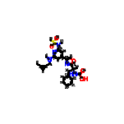 CC1CC1CN(C)c1cc(-c2coc(C(C)(Cc3ccccc3)NC(=O)O)n2)cc(N(C)S(C)(=O)=O)n1